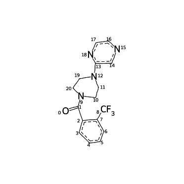 O=C(c1ccccc1C(F)(F)F)N1CCN(c2cnccn2)CC1